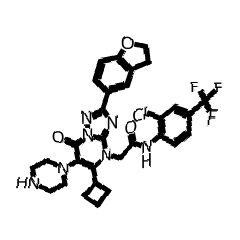 O=C(Cn1c(C2CCC2)c(N2CCNCC2)c(=O)n2nc(-c3ccc4c(c3)CCO4)nc12)Nc1ccc(C(F)(F)F)cc1Cl